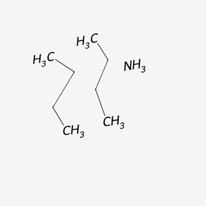 CCCC.CCCC.N